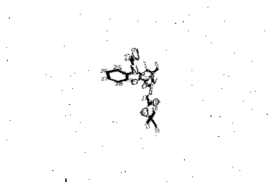 CC(C)C[C@@H](C(=O)c1nnc(SCC(=O)OC(C)(C)C)o1)N(C=O)C1CCCCC1